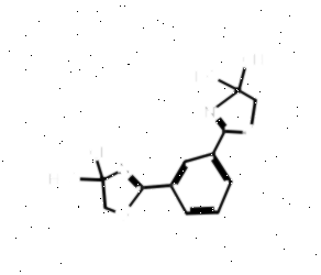 CC1(C)COC(c2cccc(C3=NC(C)(C)CO3)c2)=N1